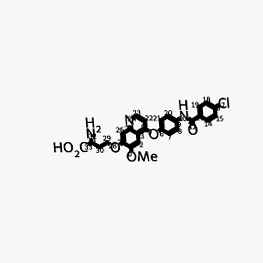 COc1cc2c(Oc3ccc(NC(=O)c4ccc(Cl)cc4)cc3)ccnc2cc1OCCC(N)C(=O)O